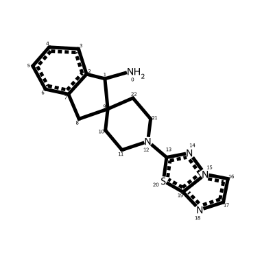 NC1c2ccccc2CC12CCN(c1nn3ccnc3s1)CC2